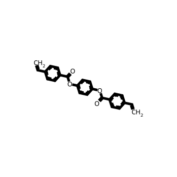 C=Cc1ccc(C(=O)Oc2ccc(OC(=O)c3ccc(C=C)cc3)cc2)cc1